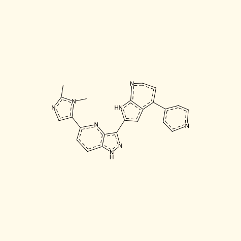 Cc1ncc(-c2ccc3[nH]nc(-c4cc5c(-c6ccncc6)ccnc5[nH]4)c3n2)n1C